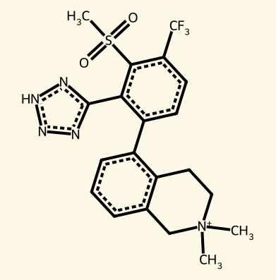 C[N+]1(C)CCc2c(cccc2-c2ccc(C(F)(F)F)c(S(C)(=O)=O)c2-c2nn[nH]n2)C1